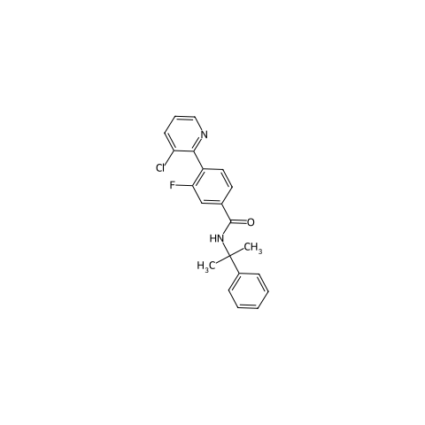 CC(C)(NC(=O)c1ccc(-c2ncccc2Cl)c(F)c1)c1ccccc1